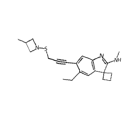 CCc1cc2c(cc1C#CCSN1CC(C)C1)N=C(NC)C21CCC1